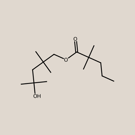 CCCC(C)(C)C(=O)OCC(C)(C)CC(C)(C)O